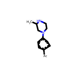 CC(=O)c1ccc(N2CCNC(C)C2)cc1